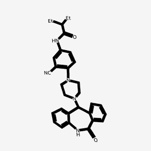 CCC(CC)C(=O)Nc1ccc(N2CCN(C3c4ccccc4NC(=O)c4ccccc43)CC2)c(C#N)c1